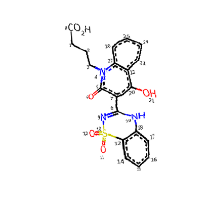 O=C(O)CCCn1c(=O)c(C2=NS(=O)(=O)c3ccccc3N2)c(O)c2ccccc21